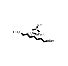 CCCCCCCCCCCCCCCCCC(=O)O.CCCCCN.CCCN(C)C